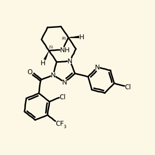 O=C(c1cccc(C(F)(F)F)c1Cl)N1N=C(c2ccc(Cl)cn2)N2C[C@H]3CCC[C@H](N3)C21